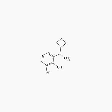 CC(C)c1cccc([C@@H](C)C2CCC2)c1O